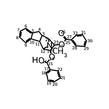 CN1C2C3Cc4ccccc4C3C1C(OC(O)c1ccccc1)C2OC(=O)c1ccccc1